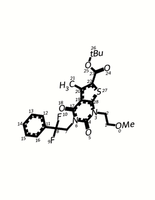 COCCn1c(=O)n(CC(F)(F)c2ccccc2)c(=O)c2c(C)c(C(=O)OC(C)(C)C)sc21